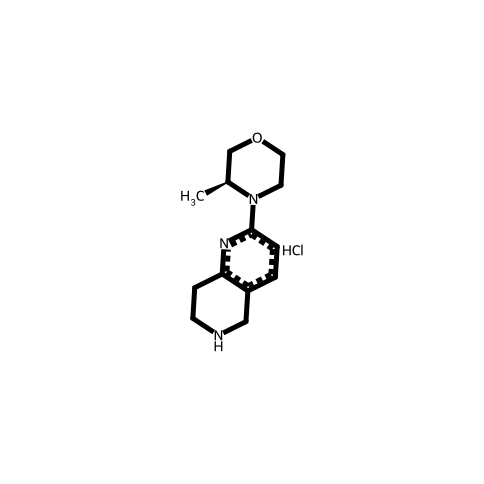 C[C@H]1COCCN1c1ccc2c(n1)CCNC2.Cl